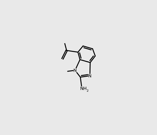 C=C(C)c1cccc2nc(N)n(C)c12